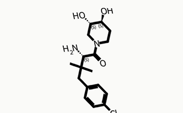 CC(C)(Cc1ccc(Cl)cc1)[C@H](N)C(=O)N1CC[C@H](O)[C@@H](O)C1